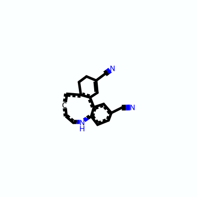 N#CC1=Cc2c(cccc[nH]c3ccc(C#N)cc23)CC1